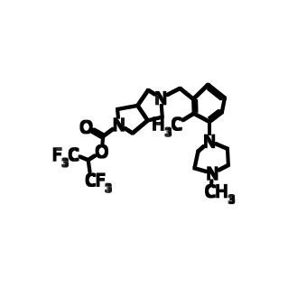 Cc1c(CN2CC3CN(C(=O)OC(C(F)(F)F)C(F)(F)F)CC3C2)cccc1N1CCN(C)CC1